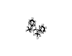 CC(C)(C)[P@@](CC[P@@](c1ncccn1)C(C)(C)C)c1ncccn1